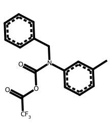 Cc1cccc(N(Cc2ccccc2)C(=O)OC(=O)C(F)(F)F)c1